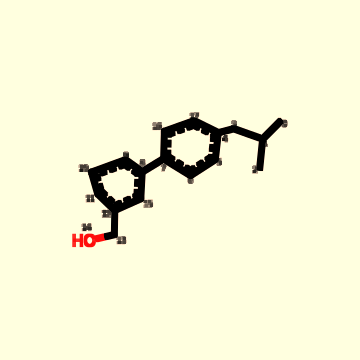 CC(C)Cc1ccc(-c2cccc(CO)c2)cc1